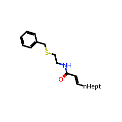 CCCCCCCC=CC(=O)NCCSCc1ccccc1